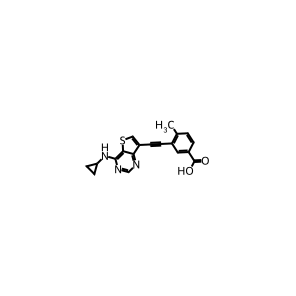 Cc1ccc(C(=O)O)cc1C#Cc1csc2c(NC3CC3)ncnc12